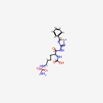 NS(=O)(=O)NCCCCC(NC(=O)O)C(=O)Nc1nsc(-c2ccccc2)n1